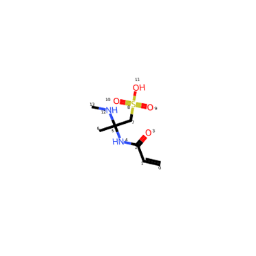 C=CC(=O)NC(C)(CS(=O)(=O)O)NC